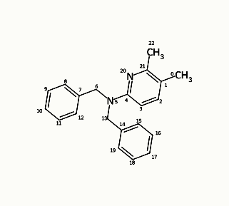 Cc1ccc(N(Cc2ccccc2)Cc2ccccc2)nc1C